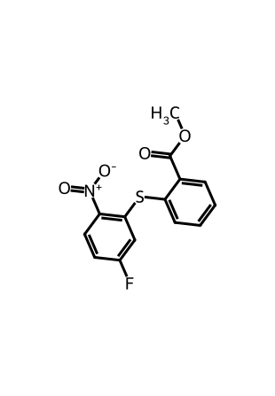 COC(=O)c1ccccc1Sc1cc(F)ccc1[N+](=O)[O-]